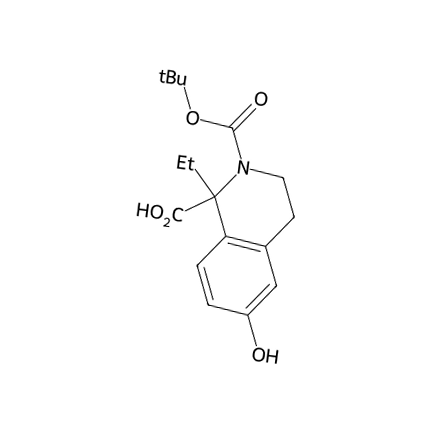 CCC1(C(=O)O)c2ccc(O)cc2CCN1C(=O)OC(C)(C)C